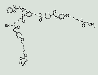 C=CC(=O)OCCCCCOc1ccc(OC(=O)C(CCC)CCCC(=O)Oc2ccc(CCOC(=O)C3CCC(C(=O)Oc4ccc(OCCCCCOC(=O)C=C)cc4)CC3)cc2/C=N/Nc2nc3ccccc3s2)cc1